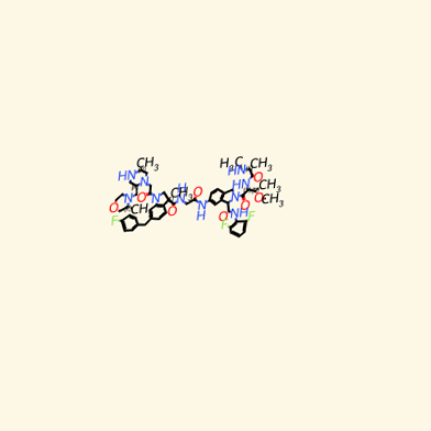 CN[C@@H](C)C(=O)N[C@H](C(=O)N1Cc2ccc(NC(=O)CNC(=O)[C@]3(C)CN(C(=O)CN4C[C@@H](C)NC[C@@H]4CN4CCOC[C@H]4C)c4cc(Cc5ccc(F)cc5)ccc43)cc2C1C(=O)Nc1c(F)cccc1F)[C@@H](C)OC